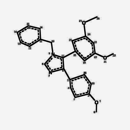 COc1ccc(-c2ncn(Cc3ccccc3)c2-c2cc(OC)cc(OC)c2)cc1